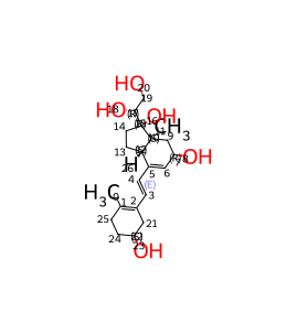 CC1=C(/C=C/C2=C[C@H](O)C[C@@]3(C)[C@H]2CC[C@]3(O)[C@H](O)CO)C[C@@H](O)CC1